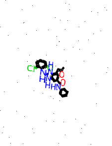 Cc1cc2c3c(cc(C(=O)Nc4ccccc4)c2o1)NC(Nc1c(Cl)cccc1Cl)N3